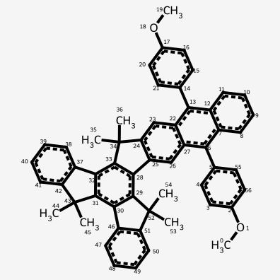 COc1ccc(-c2c3ccccc3c(-c3ccc(OC)cc3)c3cc4c(cc23)-c2c3c(c5c(c2C4(C)C)-c2ccccc2C5(C)C)-c2ccccc2C3(C)C)cc1